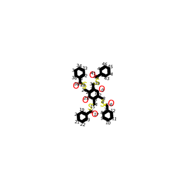 O=C1C(CSC(=O)c2ccccc2)=C(CSC(=O)c2ccccc2)C(=O)C(CSC(=O)c2ccccc2)=C1CSC(=O)c1ccccc1